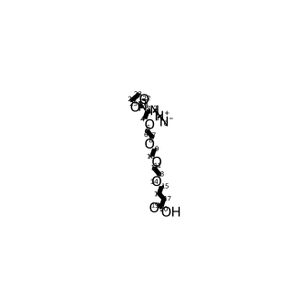 [N-]=[N+]=NC(COCCOCCOCCOCCCC(=O)O)N1OCCO1